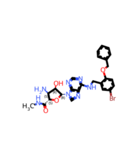 CNC(=O)[C@H]1O[C@@H](n2cnc3c(NCc4cc(Br)ccc4OCc4ccccc4)ncnc32)[C@H](O)[C@@H]1N